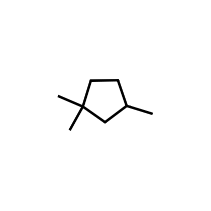 C[C]1CCC(C)(C)C1